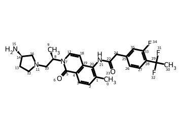 Cc1ccc2c(=O)n([C@H](C)CN3CC[C@@H](N)C3)ccc2c1NC(=O)Cc1ccc(C(C)(F)F)c(F)c1